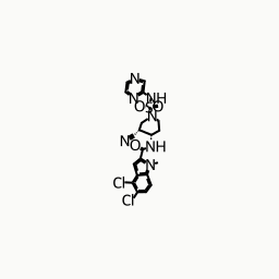 Cn1c(C(=O)N[C@H]2CCN(S(=O)(=O)Nc3cnccn3)C[C@H]2C#N)cc2c(Cl)c(Cl)ccc21